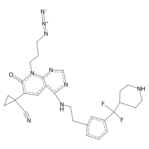 N#CC1(c2cc3c(NCCc4cccc(C(F)(F)C5CCNCC5)c4)ncnc3n(CCCN=[N+]=[N-])c2=O)CC1